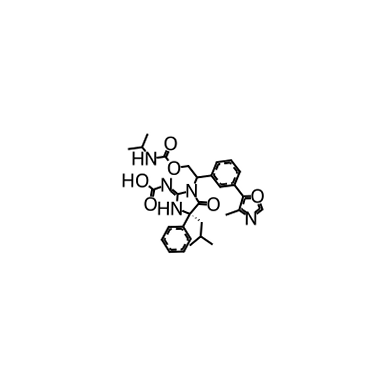 Cc1ncoc1-c1cccc(C(COC(=O)NC(C)C)N2C(=O)[C@@](CC(C)C)(c3ccccc3)NC2=NC(=O)O)c1